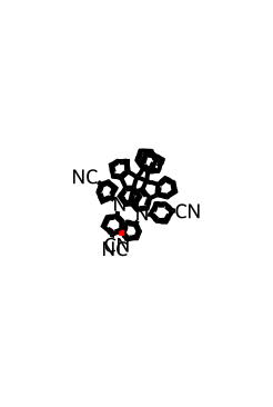 N#Cc1ccc(N(c2ccc(C#N)cc2)c2ccc3c(c2)C(c2ccccc2)(C2(c4ccccc4)c4ccccc4-c4ccc(N(c5ccc(C#N)cc5)c5ccc(C#N)cc5)cc42)c2ccccc2-3)cc1